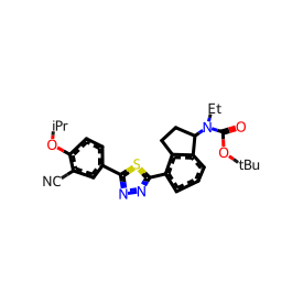 CCN(C(=O)OC(C)(C)C)C1CCc2c(-c3nnc(-c4ccc(OC(C)C)c(C#N)c4)s3)cccc21